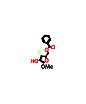 CO[C@H]1O[C@H](COC(=O)c2ccccc2)C(F)[C@@H]1O